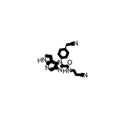 N#CCCNC(=O)c1nc2cnc3[nH]ccc3c2n1[C@H]1CC[C@H](CC#N)CC1